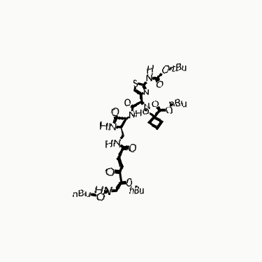 CCCCON/C=C(/OCCCC)C(=O)/C=C/C(=O)NC[C@H]1NC(=O)[C@H]1NC(=O)/C(=N\OC1(C(=O)OCCCC)CCC1)c1csc(NC(=O)OC(C)(C)C)n1